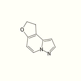 c1cc2c3c(ccn2n1)OCC3